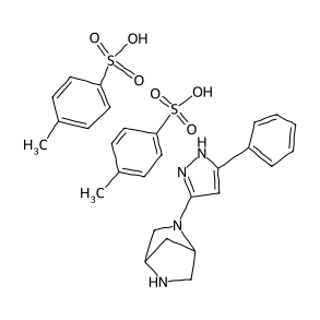 Cc1ccc(S(=O)(=O)O)cc1.Cc1ccc(S(=O)(=O)O)cc1.c1ccc(-c2cc(N3CC4CC3CN4)n[nH]2)cc1